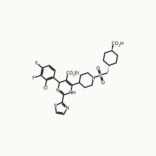 CCOC(=O)C1=C(C2CCN(S(=O)(=O)C[C@H]3CC[C@H](C(=O)O)CC3)CC2)NC(c2nccs2)=NC1c1ccc(F)c(F)c1Cl